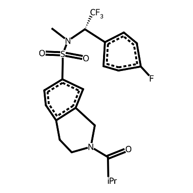 CC(C)C(=O)N1CCc2ccc(S(=O)(=O)N(C)[C@@H](c3ccc(F)cc3)C(F)(F)F)cc2C1